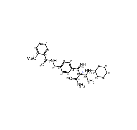 COc1ccccc1C(=O)NCc1ccc(C(=N)/C(C(N)=O)=C(/N)NC2CCCCC2)cc1